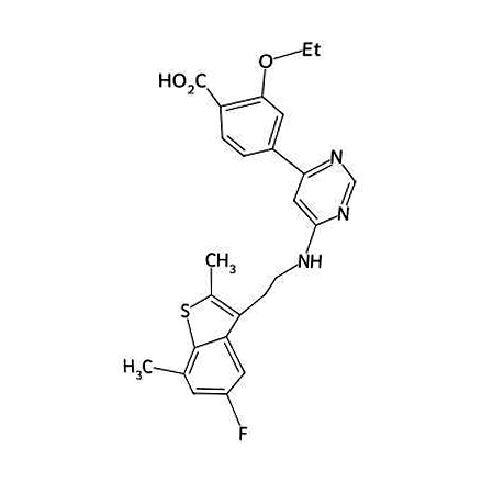 CCOc1cc(-c2cc(NCCc3c(C)sc4c(C)cc(F)cc34)ncn2)ccc1C(=O)O